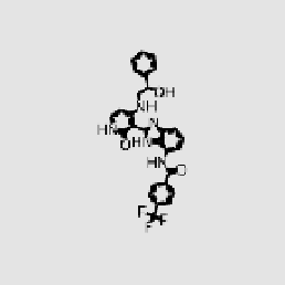 O=C(Nc1cccc2nc(-c3c(NCC(O)c4ccccc4)cc[nH]c3=O)[nH]c12)c1ccc(C(F)(F)F)cc1